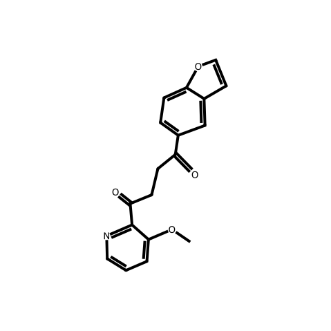 COc1cccnc1C(=O)CCC(=O)c1ccc2occc2c1